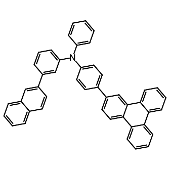 c1ccc(N(c2ccc(-c3ccc4c5ccccc5c5ccccc5c4c3)cc2)c2cccc(-c3ccc4ccccc4c3)c2)cc1